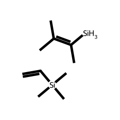 C=C[Si](C)(C)C.CC(C)=C(C)[SiH3]